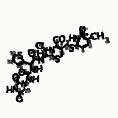 Cc1ccc(SCC2=C(C(=O)O)N3C(=O)[C@H](NC(=O)C(NC(=O)NN4CC(=O)NC4=O)c4cccs4)C3SC2)n[n+]1[O-]